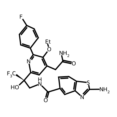 CCOc1c(CC(N)=O)cc([C@@](O)(CNC(=O)c2ccc3sc(N)nc3c2)C(F)(F)F)nc1-c1ccc(F)cc1